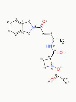 CC[C@@H](/C=C/C(=O)N1Cc2ccccc2C1)NC(=O)[C@@H]1CCN1OC(=O)C(F)(F)F